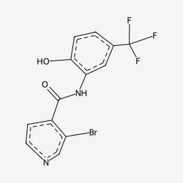 O=C(Nc1cc(C(F)(F)F)ccc1O)c1ccncc1Br